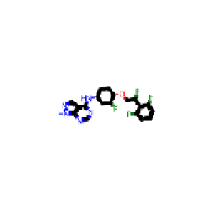 Fc1cccc(F)c1C(F)CO[C@H]1CC[C@H](Nc2ncnc3[nH]ncc23)CC1F